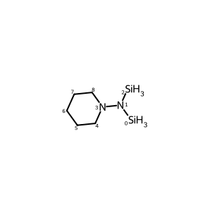 [SiH3]N([SiH3])N1CCCCC1